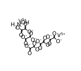 NO.O=C([O-])C(=O)[O-].O=C([O-])C(=O)[O-].O=C([O-])C(=O)[O-].O=C([O-])C(=O)[O-].O=C([O-])C(=O)[O-].[V+5].[V+5]